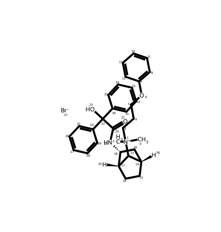 C[N+](C)(CCCOc1ccccc1)C1[C@H]2CC[C@@H]1[C@H](NC(=O)C(O)(c1ccccc1)c1ccccc1)C2.[Br-]